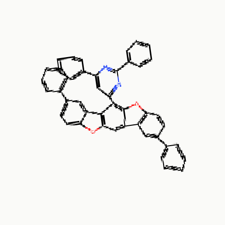 c1ccc(-c2ccc3oc4c(-c5cc(-c6ccccc6)nc(-c6ccccc6)n5)c5c(cc4c3c2)oc2ccc(-c3ccccc3)cc25)cc1